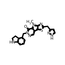 Cn1c2nc(Cc3cc[nH]n3)sc2c2cnn(Cc3cccc4c3CCN4)c(=O)c21